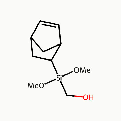 CO[Si](CO)(OC)C1CC2C=CC1C2